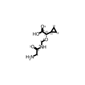 NCC(=O)NCO[C@H](C(=O)O)C1CC1